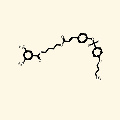 Nc1cc(N)cc(C(=O)OCCCCOC(=O)C=Cc2ccc(OC(F)(F)c3ccc(OCCCC(F)(F)F)cc3)cc2)c1